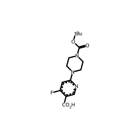 CC(C)(C)OC(=O)N1CCN(c2cc(F)c(C(=O)O)cn2)CC1